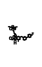 CCOP(=O)(CCCCOc1cc(Cc2cccc(-c3ccc(F)cc3)c2)cc(C)c1NC(=O)C=O)OCC